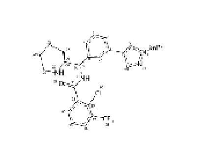 CCCn1cc(-c2cccc([C@H](NC(=O)c3cccc(C(F)(F)F)c3Cl)[C@@H]3CCCCN3)c2)cn1